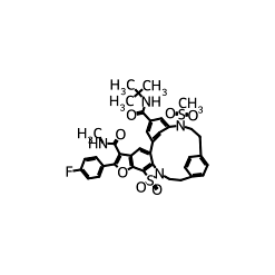 CNC(=O)c1c(-c2ccc(F)cc2)oc2c3c4c(cc12)-c1cc(C(=O)NC(C)(C)C)cc(c1)N(S(C)(=O)=O)CCc1ccc(cc1)CCN4S3(=O)=O